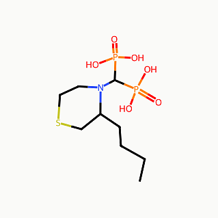 CCCCC1CSCCN1C(P(=O)(O)O)P(=O)(O)O